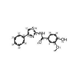 COc1cc(C(=O)Nc2nc(-c3ccccc3)cs2)ccc1O